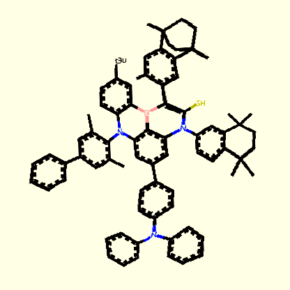 Cc1cc2c(cc1C1=C(S)N(c3ccc4c(c3)C(C)(C)CCC4(C)C)c3cc(-c4ccc(N(c5ccccc5)c5ccccc5)cc4)cc4c3B1c1cc(C(C)(C)C)ccc1N4c1c(C)cc(-c3ccccc3)cc1C)C1(C)CCC2(C)CC1